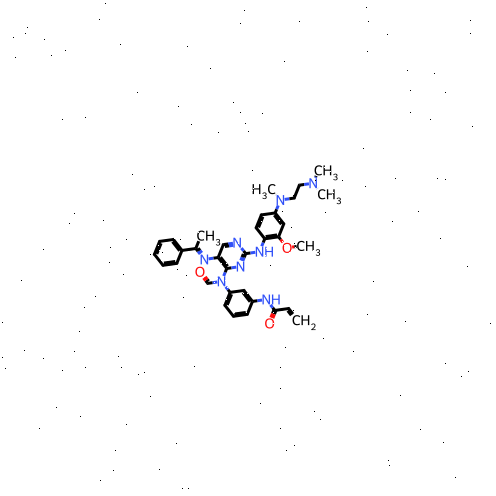 C=CC(=O)Nc1cccc(N(C=O)c2nc(Nc3ccc(N(C)CCN(C)C)cc3OC)ncc2/N=C(\C)c2ccccc2)c1